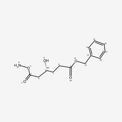 NOC(=O)C[C@H](O)CCC(=O)OCc1ccccc1